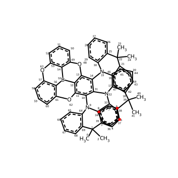 CC1(C)c2ccccc2N(c2c3c4c(c(N5c6ccccc6C(C)(C)c6ccccc65)c2N2c5ccccc5C(C)(C)c5ccccc52)Oc2cccc5c2B4c2c(cccc2O3)O5)c2ccccc21